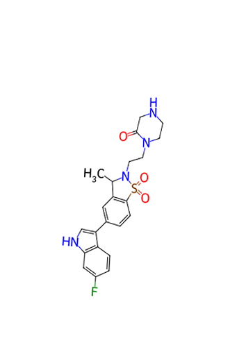 CC1c2cc(-c3c[nH]c4cc(F)ccc34)ccc2S(=O)(=O)N1CCN1CCNCC1=O